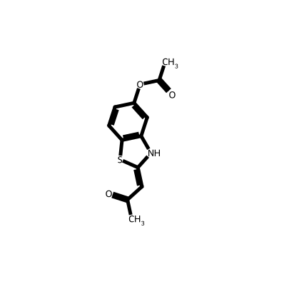 CC(=O)/C=C1/Nc2cc(OC(C)=O)ccc2S1